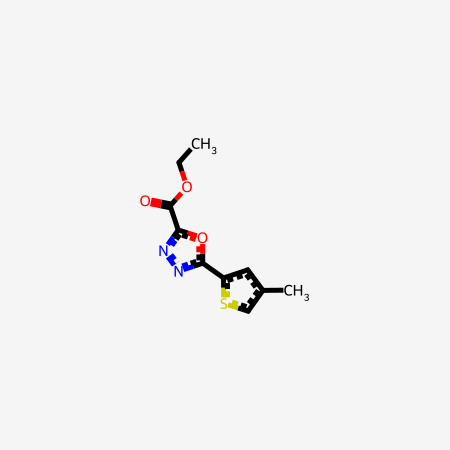 CCOC(=O)c1nnc(-c2cc(C)cs2)o1